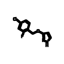 Fc1cc(Cl)ccc1COc1cc[nH]n1